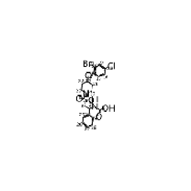 O=C(O)NC(CS(=O)(=O)N1CCC(Oc2ccc(Cl)cc2Br)CC1)c1ccccc1